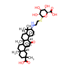 CC1(C(=O)O)CC[C@]2(C)CC[C@]3(C)C(=CC(=O)[C@@H]4[C@@]5(C)CC[C@H](NCCS[C@@H]6O[C@H](C(=O)O)[C@@H](O)[C@H](O)[C@H]6O)C(C)(C)[C@@H]5CC[C@]43C)[C@@H]2C1